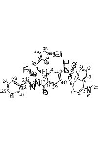 CN(C)c1cccc2c(S(=O)(=O)Nc3ccc(C(=O)n4nc(-c5ccccc5)c(F)c4NCc4ccc(Cl)s4)cc3)cccc12